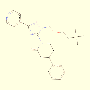 C[Si](C)(C)CCOCn1nc(-c2ccncc2)nc1N1CCC(c2ccccc2)CC1=O